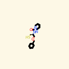 O=c1n([C@H](CS)COCc2ccccc2)nc2ccccn12